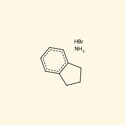 Br.N.c1ccc2c(c1)CCC2